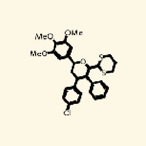 COc1cc(C2CC(c3ccc(Cl)cc3)C(c3ccccc3)C(C3SCCCS3)O2)cc(OC)c1OC